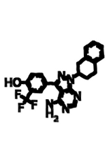 Nc1ncnc2c1c(-c1ccc(O)c(C(F)(F)F)c1)nn2C1CCc2ccccc2C1